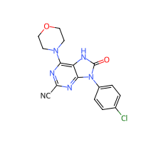 N#Cc1nc(N2CCOCC2)c2[nH]c(=O)n(-c3ccc(Cl)cc3)c2n1